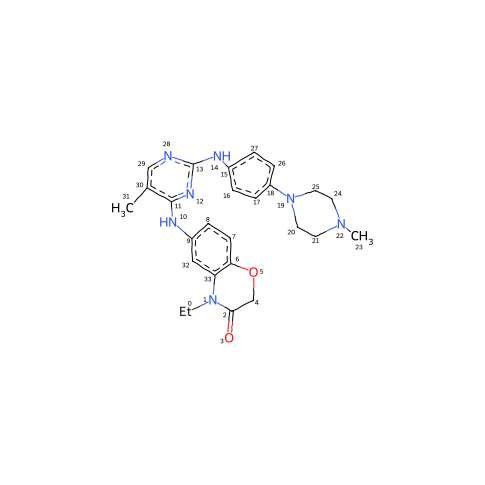 CCN1C(=O)COc2ccc(Nc3nc(Nc4ccc(N5CCN(C)CC5)cc4)ncc3C)cc21